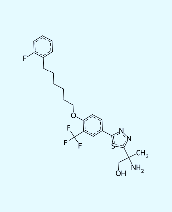 CC(N)(CO)c1nnc(-c2ccc(OCCCCCCc3ccccc3F)c(C(F)(F)F)c2)s1